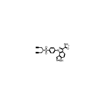 C#CCN(CC#C)S(=O)(=O)c1ccc(-n2nc(C(N)=O)c3ccc4[nH]ncc4c32)cc1